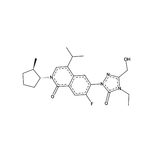 CCn1c(CO)nn(-c2cc3c(C(C)C)cn([C@@H]4CCC[C@H]4C)c(=O)c3cc2F)c1=O